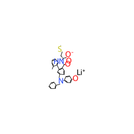 COc1ccc(N(Cc2ccccc2)Cc2ccc(C(=O)N[C@@H](CCSC)C(=O)[O-])c(-c3ccccc3C)c2)cc1.[Li+]